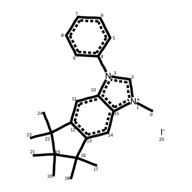 C[n+]1cn(-c2ccccc2)c2cc3c(cc21)C(C)(C)C(C)(C)C3(C)C.[I-]